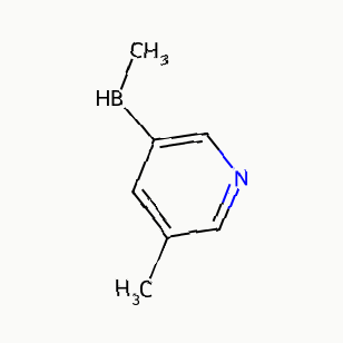 CBc1cncc(C)c1